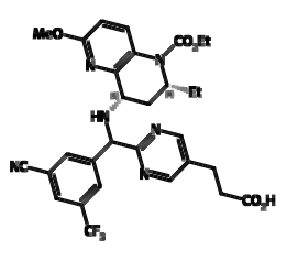 CCOC(=O)N1c2ccc(OC)nc2[C@@H](NC(c2cc(C#N)cc(C(F)(F)F)c2)c2ncc(CCC(=O)O)cn2)C[C@H]1CC